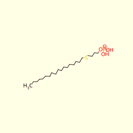 CCCCCCCCCCCCCCCCCCSCCCCOP(=O)(O)O